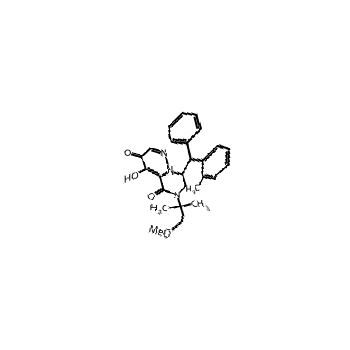 COCC(C)(C)N1CC(C(c2ccccc2)c2ccccc2C)n2ncc(=O)c(O)c2C1=O